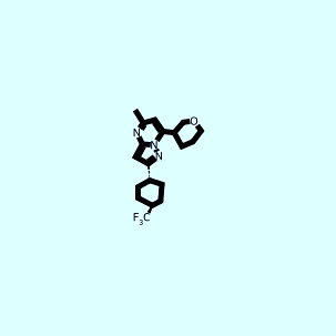 Cc1cc(C2CCCOC2)n2nc([C@H]3CC[C@H](C(F)(F)F)CC3)cc2n1